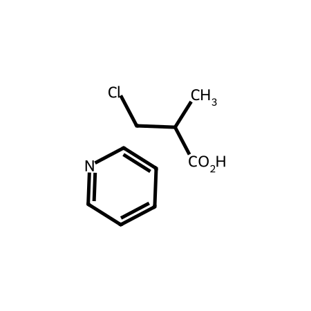 CC(CCl)C(=O)O.c1ccncc1